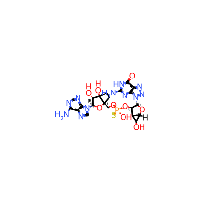 Nc1nc2c(nnn2[C@@H]2O[C@@H]3C(O)C3[C@H]2OP(O)(=S)OC[C@]23CCC2(O)[C@@H](O)[C@H](n2cnc4c(N)ncnc42)O3)c(=O)[nH]1